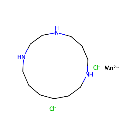 C1CCCNCCNCCCNCC1.[Cl-].[Cl-].[Mn+2]